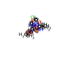 COc1c(NC(=O)c2ccc(Cl)c(Oc3ccnc(NC4CCN(OC(=O)OC(C)(C)C)CC4)c3)c2)cc(C(C)(C)C)cc1NS(C)(=O)=O